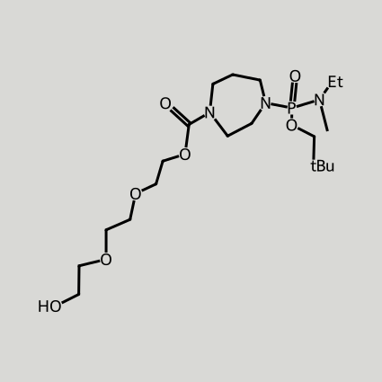 CCN(C)P(=O)(OCC(C)(C)C)N1CCCN(C(=O)OCCOCCOCCO)CC1